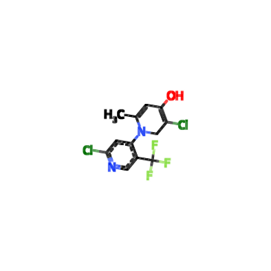 CC1=CC(O)=C(Cl)CN1c1cc(Cl)ncc1C(F)(F)F